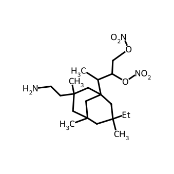 CCC1(C)CC2(C)CC(C)(CCN)CC(C(C)C(CO[N+](=O)[O-])O[N+](=O)[O-])(C1)C2